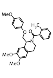 COc1ccc(OCC2c3cc(OC)c(OC)cc3CCN2C(=O)c2ccccc2C)cc1